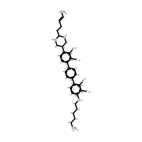 C/C=C/CCC1OCC(c2ccc(-c3ccc(-c4ccc(OCCCCCC)c(F)c4F)cc3)c(F)c2F)CO1